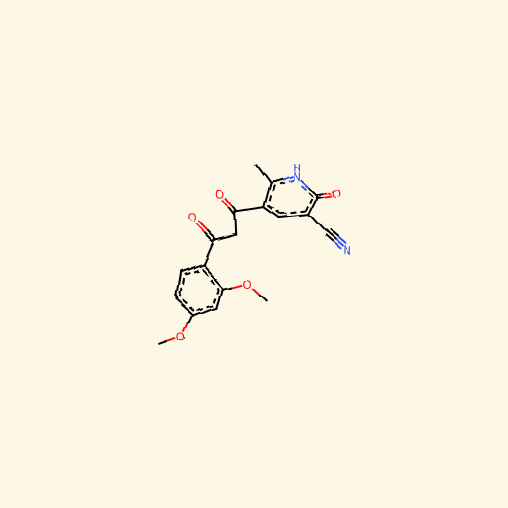 COc1ccc(C(=O)CC(=O)c2cc(C#N)c(=O)[nH]c2C)c(OC)c1